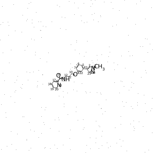 Cn1cc(-c2c[c]cc(OCCCNC(=O)c3ccccn3)c2)cn1